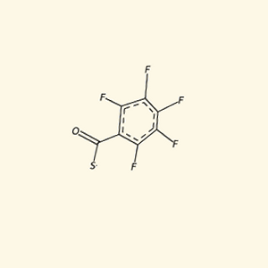 O=C([S])c1c(F)c(F)c(F)c(F)c1F